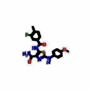 COc1ccc(Nc2nc(C(N)=O)c(NC(=O)c3ccc(C)c(F)c3)s2)cc1